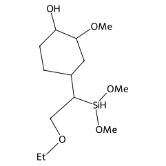 CCOCC(C1CCC(O)C(OC)C1)[SiH](OC)OC